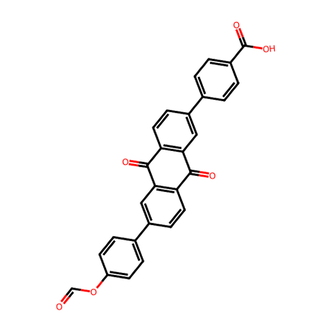 O=COc1ccc(-c2ccc3c(c2)C(=O)c2ccc(-c4ccc(C(=O)O)cc4)cc2C3=O)cc1